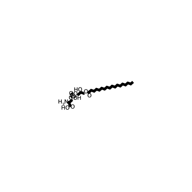 CCCCCCCCCCCCCCCCCC(=O)OCC(O)COP(=O)(O)OCC(N)C(=O)O